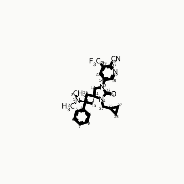 CN(C)[C@]1(c2ccccc2)C[C@@]2(CN(c3cnc(C#N)c(C(F)(F)F)c3)C(=O)N2CC2CC2)C1